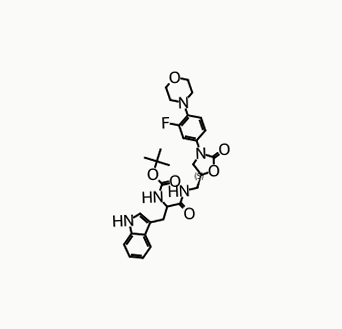 CC(C)(C)OC(=O)NC(Cc1c[nH]c2ccccc12)C(=O)NC[C@H]1CN(c2ccc(N3CCOCC3)c(F)c2)C(=O)O1